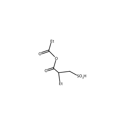 CCC(=O)OC(=O)C(CC)CS(=O)(=O)O